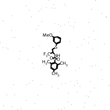 COc1cccc(SCC(NS(=O)(=O)c2c(C)cc(C)cc2C)C(F)(F)F)c1